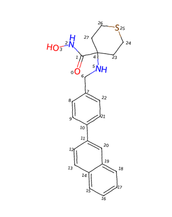 O=C(NO)C1(NCc2ccc(-c3ccc4ccccc4c3)cc2)CCSCC1